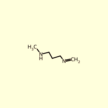 C=NCCCNC